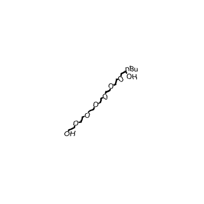 CCCCC(O)COCCOCCOCCOCCOCCOCCO